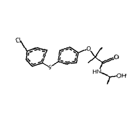 CC(O)NC(=O)C(C)(C)Oc1ccc(Sc2ccc(Cl)cc2)cc1